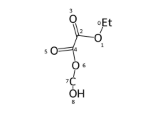 CCOC(=O)C(=O)OCO